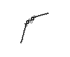 CCCCCCCCCCCCCCCCOC(C)c1ccc(OC(=O)c2ccc(OCCCCCCCCCCCCC)cc2)cc1